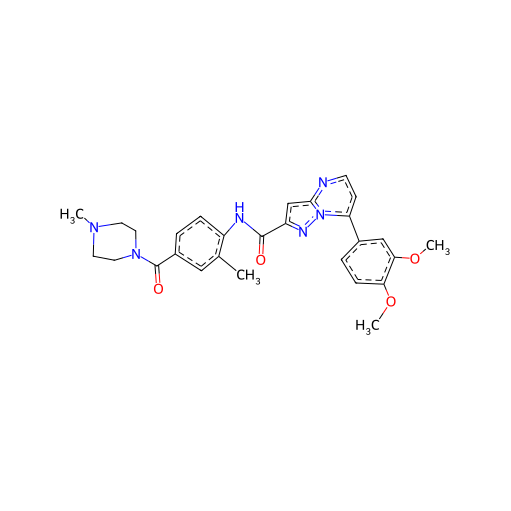 COc1ccc(-c2ccnc3cc(C(=O)Nc4ccc(C(=O)N5CCN(C)CC5)cc4C)nn23)cc1OC